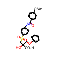 COc1ccc(C(=O)Nc2ccc(S(=O)(=O)CC(O)(COc3ccccc3)C(=O)O)cc2)cc1